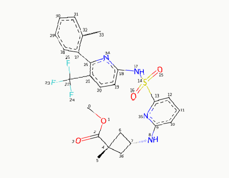 COC(=O)[C@]1(C)C[C@H](Nc2cccc(S(=O)(=O)Nc3ccc(C(F)(F)F)c(-c4ccccc4C)n3)n2)C1